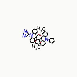 Cc1ccc2c(c1)C1(c3cc(C)ccc3N2c2ccccc2)c2ccccc2C2(c3ccccc3N(c3cncnc3)c3ccccc32)c2ccccc21